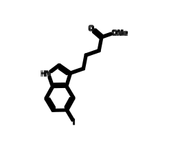 COC(=O)CCCc1c[nH]c2ccc(I)cc12